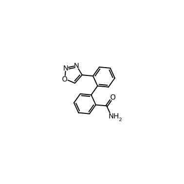 NC(=O)c1ccccc1-c1ccccc1-c1conn1